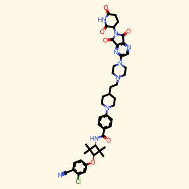 CC1(C)[C@H](NC(=O)c2ccc(N3CCC(CCN4CCN(c5cnc6c(n5)C(=O)N(C5CCC(=O)NC5=O)C6=O)CC4)CC3)cc2)C(C)(C)[C@H]1Oc1ccc(C#N)c(Cl)c1